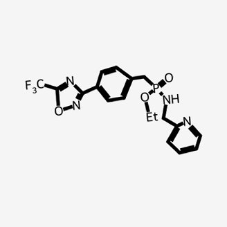 CCOP(=O)(Cc1ccc(-c2noc(C(F)(F)F)n2)cc1)NCc1ccccn1